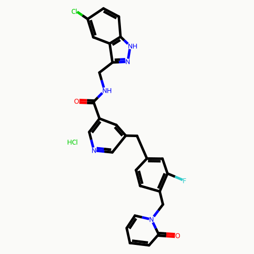 Cl.O=C(NCc1n[nH]c2ccc(Cl)cc12)c1cncc(Cc2ccc(Cn3ccccc3=O)c(F)c2)c1